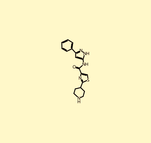 O=C(Nc1cc(-c2ccccc2)n[nH]1)c1csc(C2CCNCC2)n1